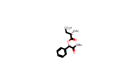 CC(=O)O[C@@H](CC(=O)O)C(=O)O[C@H](C(=O)OCC(C)C)c1ccccc1